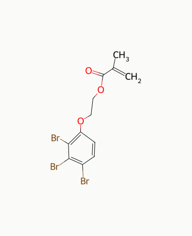 C=C(C)C(=O)OCCOc1ccc(Br)c(Br)c1Br